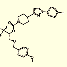 COc1ccc(COC[C@@H](OC(=O)N2CCC(c3ccn(-c4ccc(F)cc4)n3)CC2)C(F)(F)F)cc1